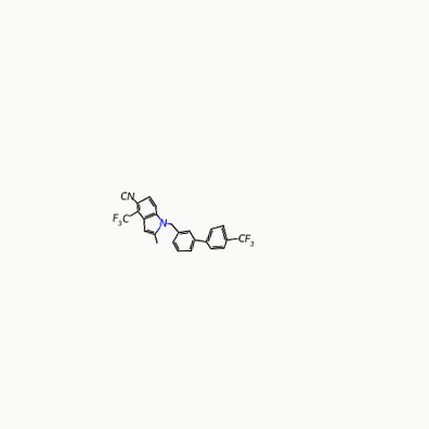 [C-]#[N+]c1ccc2c(cc(C)n2Cc2cccc(-c3ccc(C(F)(F)F)cc3)c2)c1C(F)(F)F